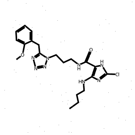 CCCCNc1nc(Cl)[nH]c1C(=O)NCCCn1nnnc1Cc1ccccc1OC